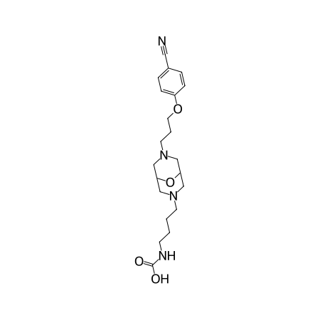 N#Cc1ccc(OCCCN2CC3CN(CCCCNC(=O)O)CC(C2)O3)cc1